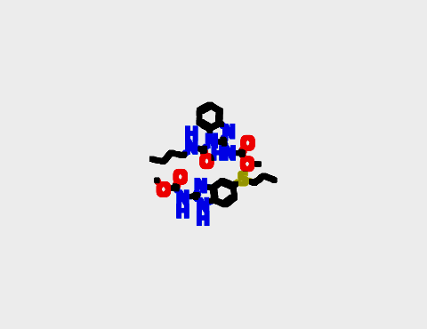 CCCCNC(=O)n1c(NC(=O)OC)nc2ccccc21.CCCSc1ccc2[nH]c(NC(=O)OC)nc2c1